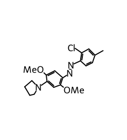 COc1cc(N2CCCC2)c(OC)cc1/N=N/c1ccc(C)cc1Cl